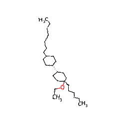 CCCCCCCC1CCC([C@H]2CC[C@@](CCCCCC)(OCC)CC2)CC1